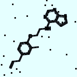 C=CCc1ccc(OCCNc2ncnc3sccc23)c(C)c1